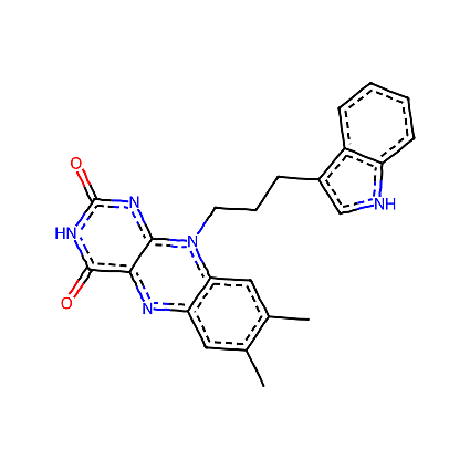 Cc1cc2nc3c(=O)[nH]c(=O)nc-3n(CCCc3c[nH]c4ccccc34)c2cc1C